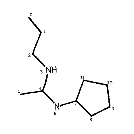 CCCNC(C)[N]C1CCCC1